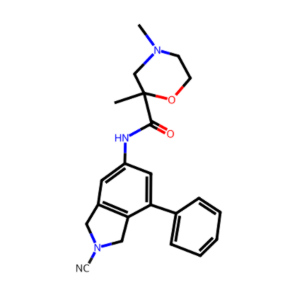 CN1CCOC(C)(C(=O)Nc2cc3c(c(-c4ccccc4)c2)CN(C#N)C3)C1